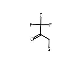 O=C(C[S])C(F)(F)F